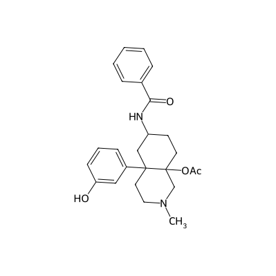 CC(=O)OC12CCC(NC(=O)c3ccccc3)CC1(c1cccc(O)c1)CCN(C)C2